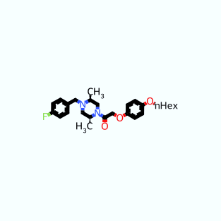 CCCCCCOc1ccc(OCC(=O)N2C[C@H](C)N(Cc3ccc(F)cc3)C[C@H]2C)cc1